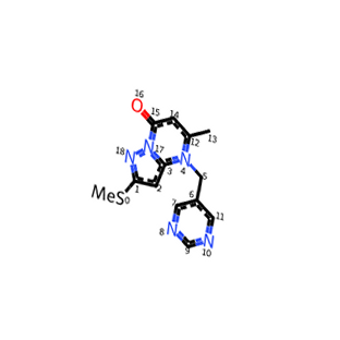 CSc1cc2n(Cc3cncnc3)c(C)cc(=O)n2n1